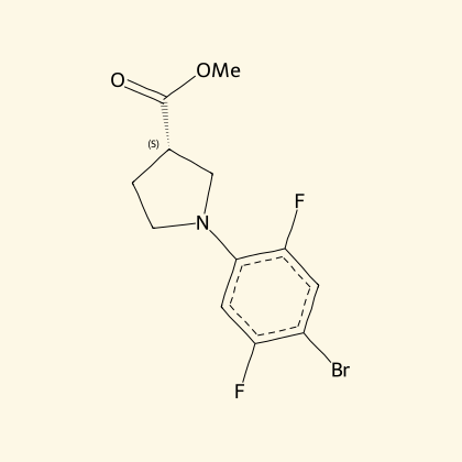 COC(=O)[C@H]1CCN(c2cc(F)c(Br)cc2F)C1